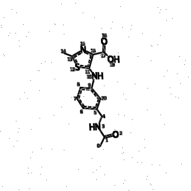 CC(=O)NCc1cccc(Nc2sc(C)nc2C(=O)O)c1